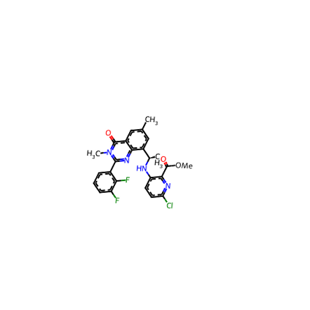 COC(=O)c1nc(Cl)ccc1N[C@H](C)c1cc(C)cc2c(=O)n(C)c(-c3cccc(F)c3F)nc12